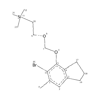 Cc1cc2c(c(OCOCC[Si](C)(C)C)c1Br)CCC2